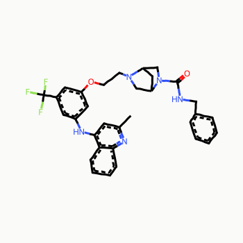 Cc1cc(Nc2cc(OCCN3CC4CC3CN4C(=O)NCc3ccccc3)cc(C(F)(F)F)c2)c2ccccc2n1